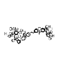 CCOc1cc([C@@H](CS(C)(=O)=O)N2C(=O)c3cccc(N4CCN([C@@H]5CCN(CCc6ccc(Oc7cc8c(cc7F)c(N7CCC(=O)NC7=O)nn8C)cc6)CC5(F)F)CC4)c3C2=O)ccc1OC